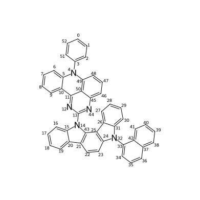 c1ccc(N2c3ccccc3-c3nc(-n4c5ccccc5c5ccc6c(c7ccccc7n6-c6cccc7ccccc67)c54)nc4cccc2c34)cc1